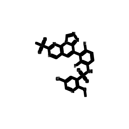 COc1ncc(Cl)cc1S(=O)(=O)Nc1ccc(F)c(-c2cc3cnc(S(C)(=O)=O)nc3n3cnnc23)c1F